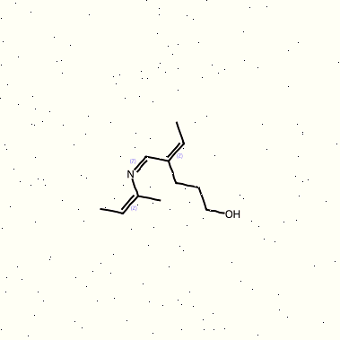 C\C=C(/C=N\C(C)=C/C)CCCO